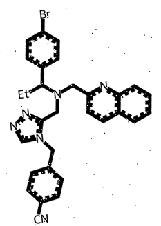 CCC(c1ccc(Br)cc1)N(Cc1ccc2ccccc2n1)Cc1nncn1Cc1ccc(C#N)cc1